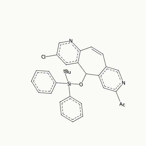 CC(=O)c1cc2c(cn1)C=Cc1ncc(Cl)cc1C2O[Si](c1ccccc1)(c1ccccc1)C(C)(C)C